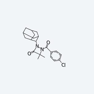 CC1(C)C(=O)N(C2C3CC4CC(C3)CC2C4)N1C(=O)c1ccc(Cl)cc1